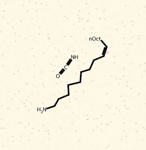 CCCCCCCC/C=C\CCCCCCCCN.N=C=O